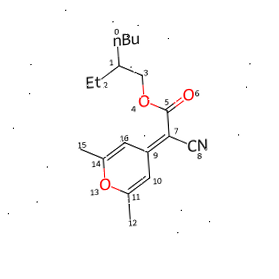 CCCCC(CC)COC(=O)C(C#N)=C1C=C(C)OC(C)=C1